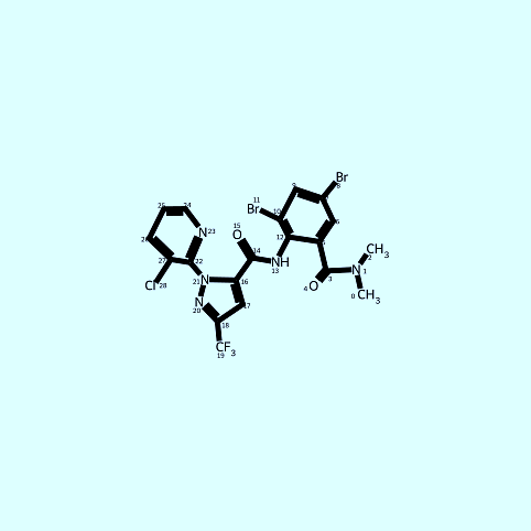 CN(C)C(=O)c1cc(Br)cc(Br)c1NC(=O)c1cc(C(F)(F)F)nn1-c1ncccc1Cl